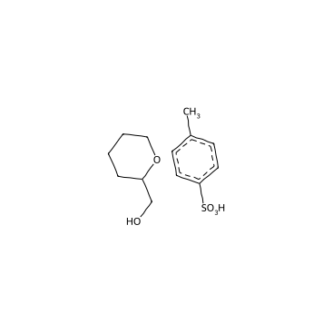 Cc1ccc(S(=O)(=O)O)cc1.OCC1CCCCO1